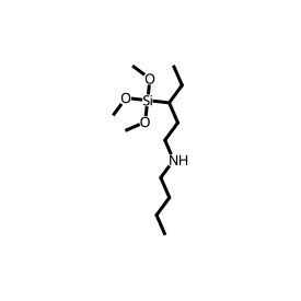 CCCCNCCC(CC)[Si](OC)(OC)OC